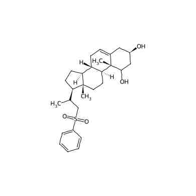 CC(CS(=O)(=O)c1ccccc1)[C@H]1CC[C@H]2[C@@H]3CC=C4C[C@@H](O)CC(O)[C@]4(C)[C@H]3CC[C@]12C